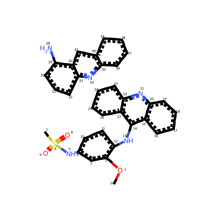 COc1cc(NS(C)(=O)=O)ccc1Nc1c2ccccc2nc2ccccc12.Nc1cccc2nc3ccccc3cc12